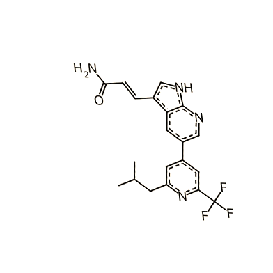 CC(C)Cc1cc(-c2cnc3[nH]cc(C=CC(N)=O)c3c2)cc(C(F)(F)F)n1